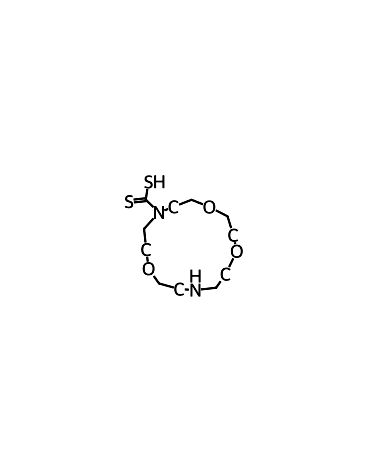 S=C(S)N1CCOCCNCCOCCOCC1